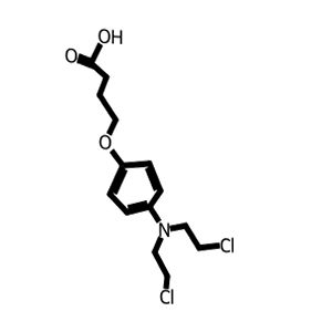 O=C(O)CCCOc1ccc(N(CCCl)CCCl)cc1